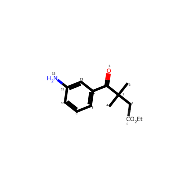 CCOC(=O)CC(C)(C)C(=O)c1cccc(N)c1